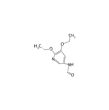 CCOc1cc(NC=O)cnc1OCC